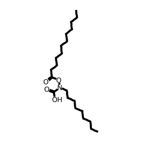 CCCCCCCCCCCC(=O)ON(CCCCCCCCC)C(=O)O